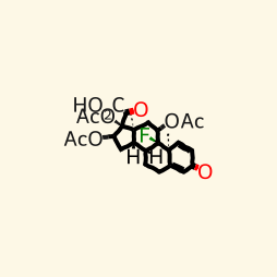 CC(=O)OC1C[C@H]2[C@@H]3CCC4=CC(=O)C=C[C@]4(C)[C@@]3(F)C(OC(C)=O)C[C@]2(C)[C@@]1(OC(C)=O)C(=O)C(=O)O